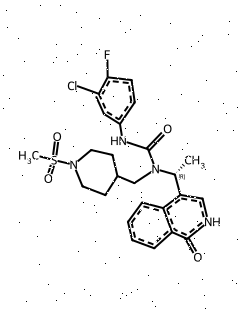 C[C@H](c1c[nH]c(=O)c2ccccc12)N(CC1CCN(S(C)(=O)=O)CC1)C(=O)Nc1ccc(F)c(Cl)c1